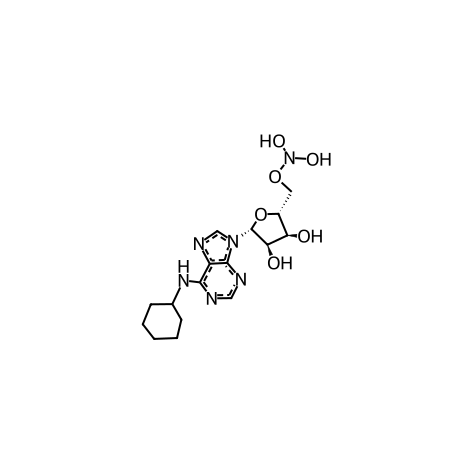 O[C@@H]1[C@H](O)[C@@H](CON(O)O)O[C@H]1n1cnc2c(NC3CCCCC3)ncnc21